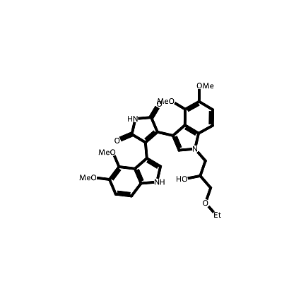 CCOCC(O)Cn1cc(C2=C(c3c[nH]c4ccc(OC)c(OC)c34)C(=O)NC2=O)c2c(OC)c(OC)ccc21